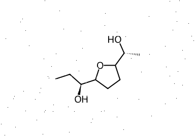 CC[C@H](O)C1CCC([C@@H](C)O)O1